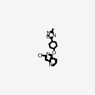 Cc1noc(C2CCC(Oc3nc(Cl)cc4ncccc34)CC2)n1